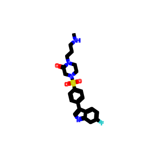 CNCCCN1CCN(S(=O)(=O)c2ccc(C3=CN=C4CC(F)=CC=C34)cc2)CC1=O